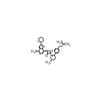 CC1CCC(c2ccc(CCN(C)C)cc2)N(C(=O)C(=O)Nc2cnc(N)c3cn(C4CCCCO4)nc23)C1